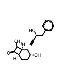 CC1C(=O)[C@@H]2CC[C@H](O)[C@@H](C#C[C@@H](O)Cc3ccccc3)[C@H]12